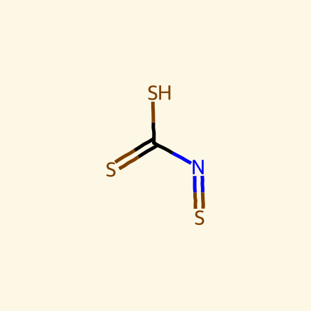 S=NC(=S)S